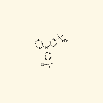 CCCC(C)(C)c1ccc(N(c2ccccc2)c2ccc(C(C)(C)CC)cc2)cc1